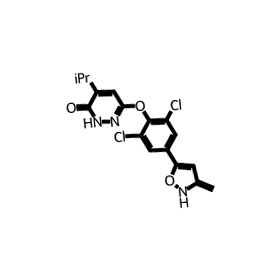 C=C1C=C(c2cc(Cl)c(Oc3cc(C(C)C)c(=O)[nH]n3)c(Cl)c2)ON1